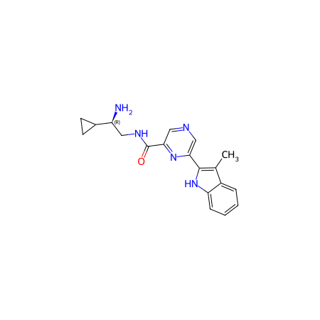 Cc1c(-c2cncc(C(=O)NC[C@H](N)C3CC3)n2)[nH]c2ccccc12